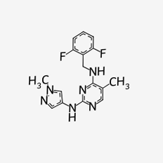 Cc1cnc(Nc2cnn(C)c2)nc1NCc1c(F)cccc1F